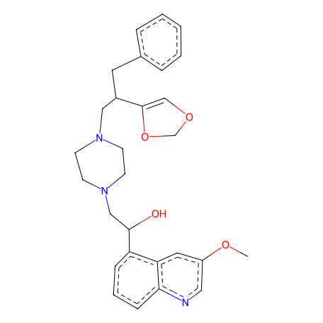 COc1cnc2cccc(C(O)CN3CCN(CC(Cc4ccccc4)C4=COCO4)CC3)c2c1